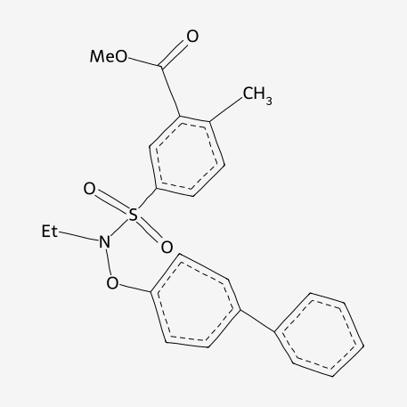 CCN(Oc1ccc(-c2ccccc2)cc1)S(=O)(=O)c1ccc(C)c(C(=O)OC)c1